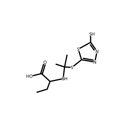 CCC(BC(C)(C)Sc1nnc(S)s1)C(=O)O